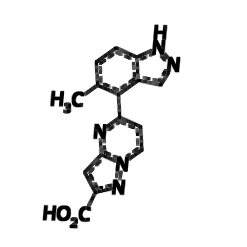 Cc1ccc2[nH]ncc2c1-c1ccn2nc(C(=O)O)cc2n1